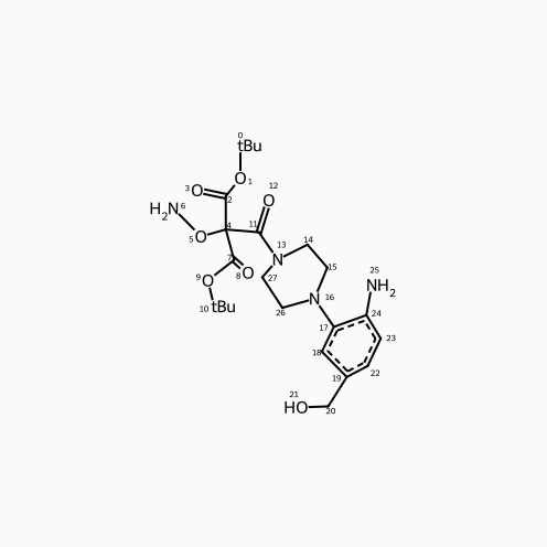 CC(C)(C)OC(=O)C(ON)(C(=O)OC(C)(C)C)C(=O)N1CCN(c2cc(CO)ccc2N)CC1